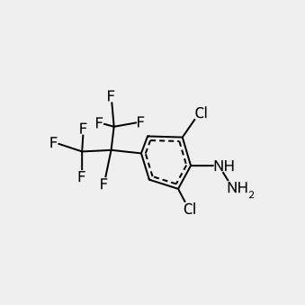 NNc1c(Cl)cc(C(F)(C(F)(F)F)C(F)(F)F)cc1Cl